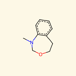 CN1COCCc2ccccc21